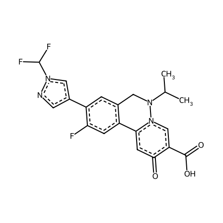 CC(C)N1Cc2cc(-c3cnn(C(F)F)c3)c(F)cc2-c2cc(=O)c(C(=O)O)cn21